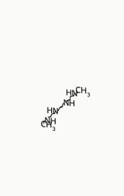 CCNCCCCNC/C=C/CNCCCCNCC